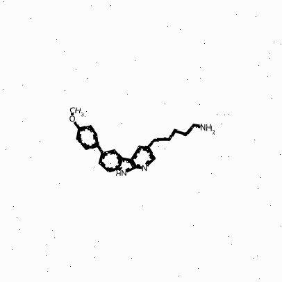 COc1ccc(-c2ccc3[nH]c4ncc(CCCCCN)cc4c3c2)cc1